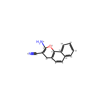 N#CC1=C(N)Oc2c(ccc3ccccc23)C1